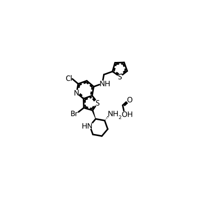 N[C@@H]1CCCN[C@H]1c1sc2c(NCc3cccs3)cc(Cl)nc2c1Br.O=CO